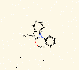 COc1c(OC(=O)O)n(-c2ccccc2)c2ccccc12